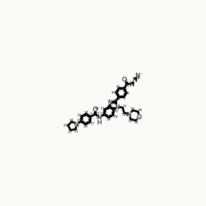 [N-]=[N+]=NC(=O)c1ccc(-c2nc3cc(NC(=O)c4ccc(N5CCCC5)cc4)ccc3n2CCN2CCOCC2)cc1